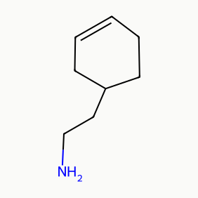 NCCC1CC=CCC1